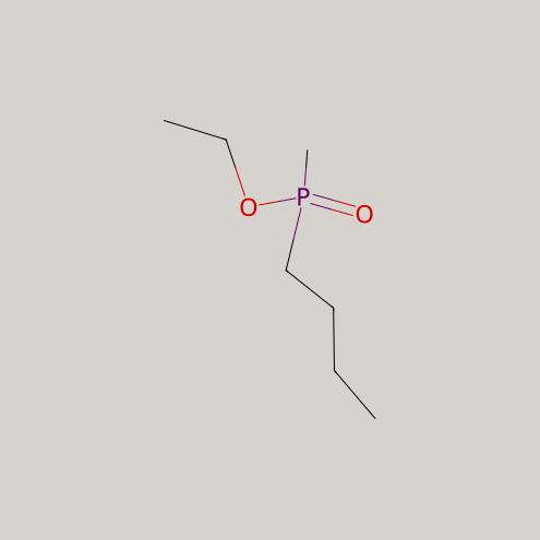 CCCCP(C)(=O)OCC